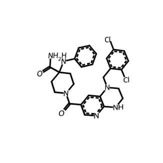 NC(=O)C1(Nc2ccccc2)CCN(C(=O)c2cnc3c(c2)N(Cc2cc(Cl)ccc2Cl)CCN3)CC1